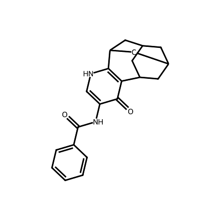 O=C(Nc1c[nH]c2c(c1=O)C1CC3CC(CC2C3)C1)c1ccccc1